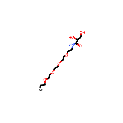 CC(=O)CCOCCOCCOCCOCCNC(=O)C(O)CO